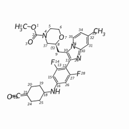 COC(=O)N1CCO[C@@H](Cc2c(-c3c(F)cc(NC4CCC(=C=O)CC4)cc3F)nc3cc(C)ccn23)C1